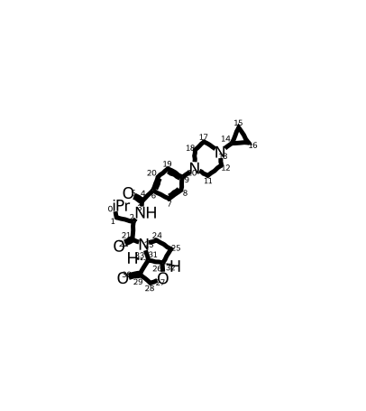 CC(C)CC(NC(=O)c1ccc(N2CCN(C3CC3)CC2)cc1)C(=O)N1CC[C@H]2OCC(=O)[C@H]21